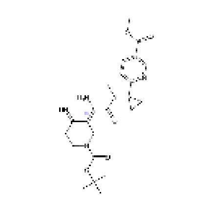 COC(=O)c1ccc(C2(N(C)C(=O)/C(N)=C3\CN(C(=O)OC(C)(C)C)CCC3=N)CC2)nc1